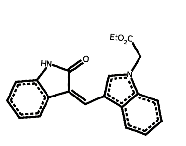 CCOC(=O)Cn1cc(C=C2C(=O)Nc3ccccc32)c2ccccc21